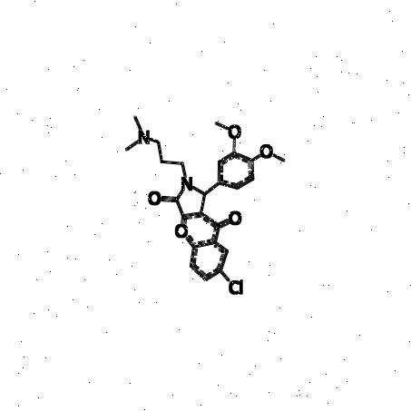 COc1ccc(C2c3c(oc4ccc(Cl)cc4c3=O)C(=O)N2CCCN(C)C)cc1OC